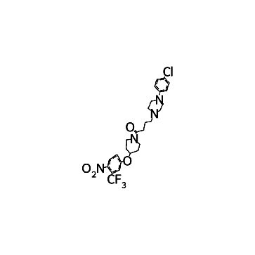 O=C(CCCN1CCN(c2ccc(Cl)cc2)CC1)N1CCC(Oc2ccc([N+](=O)[O-])c(C(F)(F)F)c2)CC1